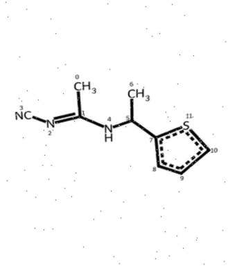 C/C(=N\C#N)NC(C)c1cccs1